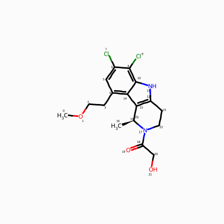 COCCc1cc(Cl)c(Cl)c2[nH]c3c(c12)[C@H](C)N(C(=O)CO)CC3